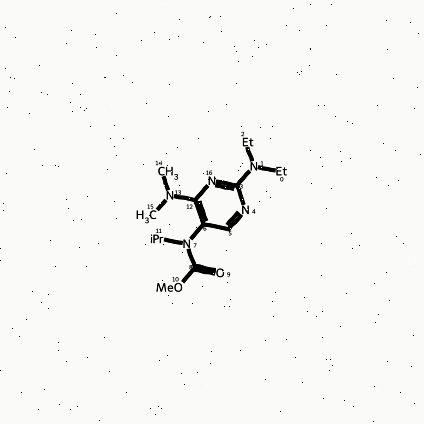 CCN(CC)c1ncc(N(C(=O)OC)C(C)C)c(N(C)C)n1